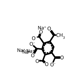 CC(=O)c1cc(C(=O)[O-])c(C(=O)[O-])c(C(=O)[O-])c1C(=O)[O-].[Na+].[Na+].[Na+].[Na+]